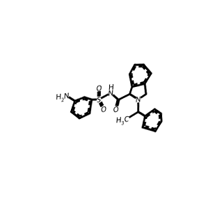 CC(c1ccccc1)N1Cc2ccccc2C1C(=O)NS(=O)(=O)c1cccc(N)c1